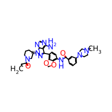 C=CC(=O)N1CCC[C@@H](n2nc(-c3ccc(NC(=O)c4cccc(N5CCN(C)CC5)c4)c4c3OCO4)c3c(N)ncnc32)C1